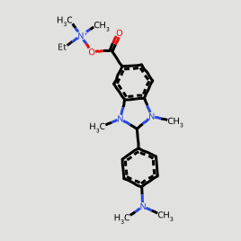 CC[N+](C)(C)OC(=O)c1ccc2c(c1)N(C)C(c1ccc(N(C)C)cc1)N2C